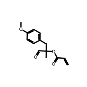 C=CC(=O)OC(C)(C=O)Cc1ccc(OC)cc1